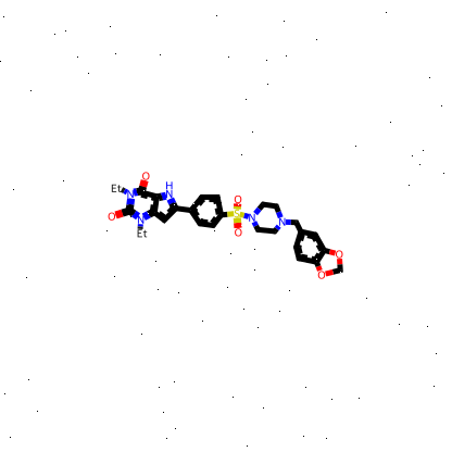 CCn1c(=O)c2[nH]c(-c3ccc(S(=O)(=O)N4CCN(Cc5ccc6c(c5)OCO6)CC4)cc3)cc2n(CC)c1=O